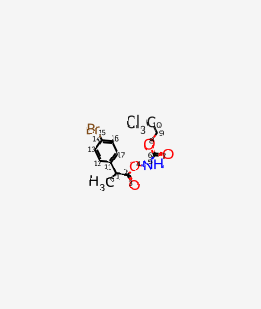 CC(C(=O)ONC(=O)OCC(Cl)(Cl)Cl)c1ccc(Br)cc1